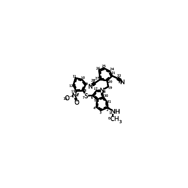 CNc1ccc2c(Sc3ccccc3[N+](=O)[O-])cn(Cc3c(C#N)cccc3C#N)c2c1